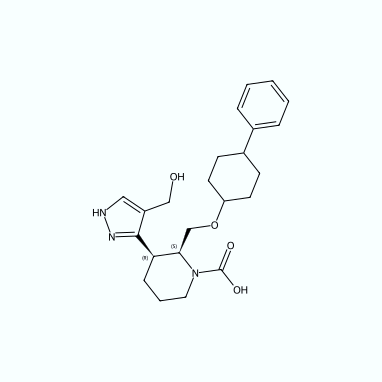 O=C(O)N1CCC[C@@H](c2n[nH]cc2CO)[C@H]1COC1CCC(c2ccccc2)CC1